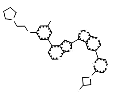 NC1CN(c2cncc(-c3cnc4[nH]nc(-c5cc6c(-c7cc(F)cc(OCCN8CCCC8)c7)ccnc6[nH]5)c4c3)n2)C1